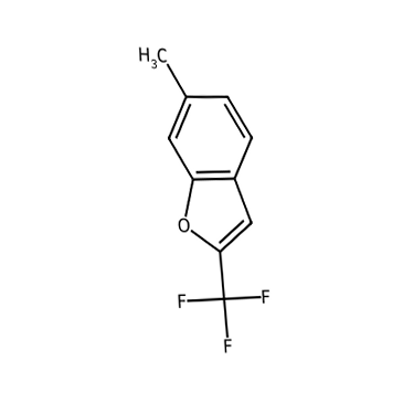 Cc1ccc2cc(C(F)(F)F)oc2c1